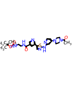 CC(=O)N1CCN(c2ccnc(Nc3ncc(-c4cncc(C(=O)NCCNC(=O)OC(C)(C)C)c4)s3)c2)CC1